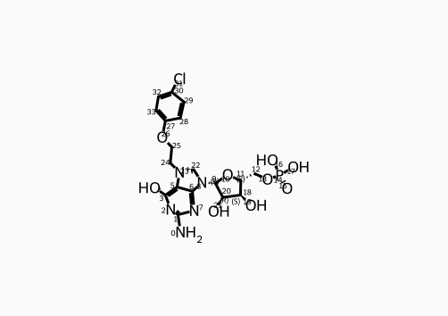 Nc1nc(O)c2c(n1)n([C@@H]1O[C@H](COP(=O)(O)O)[C@@H](O)[C@H]1O)c[n+]2CCOc1ccc(Cl)cc1